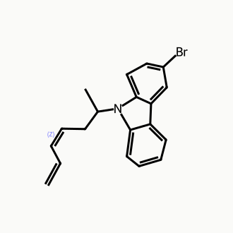 C=C/C=C\CC(C)n1c2ccccc2c2cc(Br)ccc21